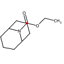 CCOC(=O)N1C2CCCC1CCC2